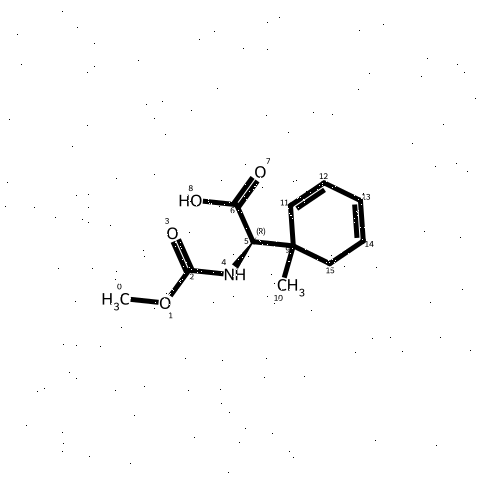 COC(=O)N[C@@H](C(=O)O)C1(C)C=CC=CC1